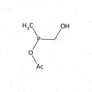 CC(=O)OP(C)CO